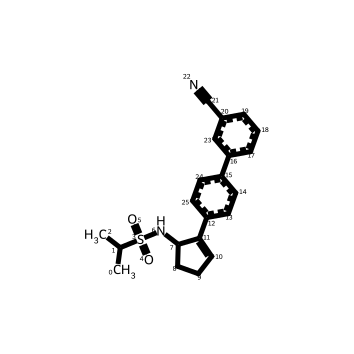 CC(C)S(=O)(=O)NC1CCC=C1c1ccc(-c2cccc(C#N)c2)cc1